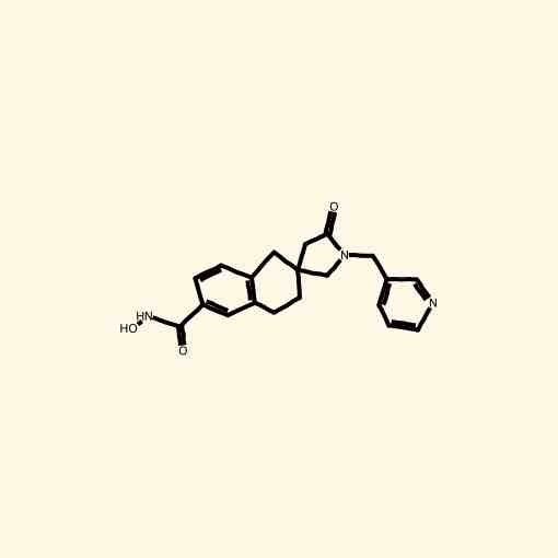 O=C(NO)c1ccc2c(c1)CCC1(CC(=O)N(Cc3cccnc3)C1)C2